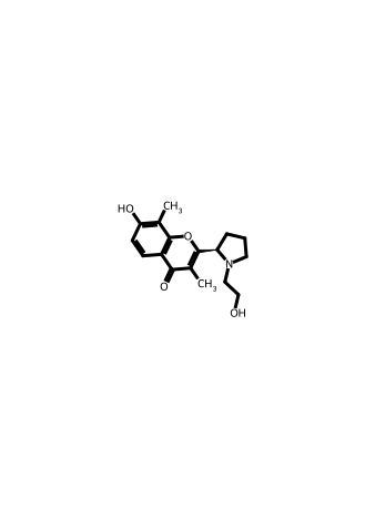 Cc1c([C@H]2CCCN2CCO)oc2c(C)c(O)ccc2c1=O